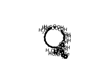 COC(=O)C(CC1=CCc2ccccc21)NC(=O)[C@@H]1C(O)C[C@@]2(O)C[C@@H](O)C[C@@H](O)[C@H](O)CC[C@@H](O)C[C@@H](O)CC(=O)OC(C)C(C)[C@H](O)C(C)/C=C/C=C/C=C/C=C/C=C/C=C/C=C/[C@H](OC3OC(C)C(O)C(N)C3O)CC1O2